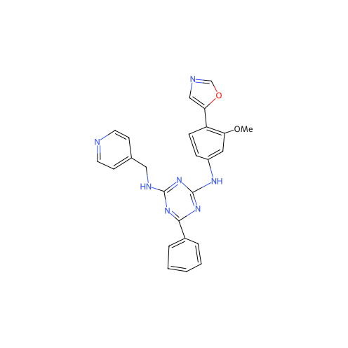 COc1cc(Nc2nc(NCc3ccncc3)nc(-c3ccccc3)n2)ccc1-c1cnco1